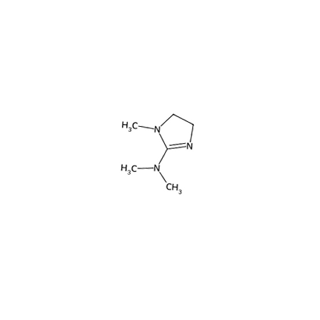 CN(C)C1=NCCN1C